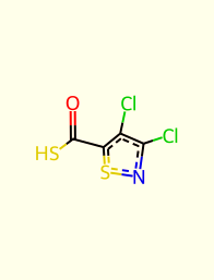 O=C(S)c1snc(Cl)c1Cl